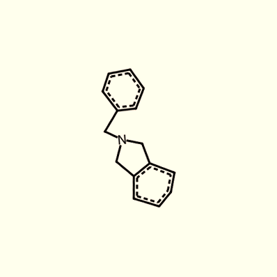 c1ccc(CN2Cc3ccccc3C2)cc1